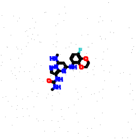 CNC(=O)Nc1cnn2c(NC)cc(Nc3ccc(F)c4c3OCCO4)nc12